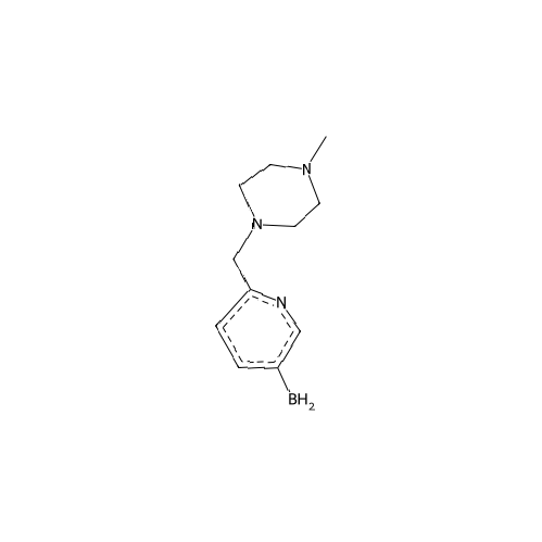 Bc1ccc(CN2CCN(C)CC2)nc1